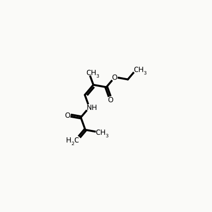 C=C(C)C(=O)NC=C(C)C(=O)OCC